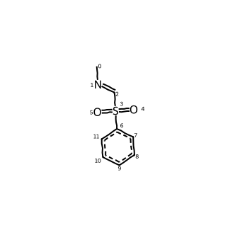 C/N=C/S(=O)(=O)c1ccccc1